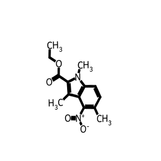 CCOC(=O)c1c(C)c2c([N+](=O)[O-])c(C)ccc2n1C